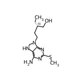 CC[C@H](CO)CCN1CNc2c(N)nc(SC)nc21